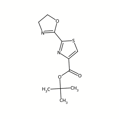 CC(C)(C)OC(=O)c1csc(C2=NCCO2)n1